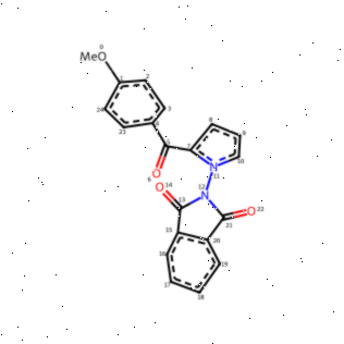 COc1ccc(C(=O)c2cccn2N2C(=O)c3ccccc3C2=O)cc1